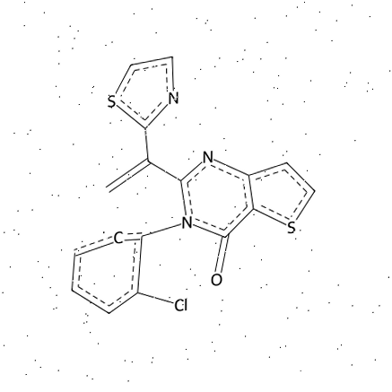 C=C(c1nccs1)c1nc2ccsc2c(=O)n1-c1ccccc1Cl